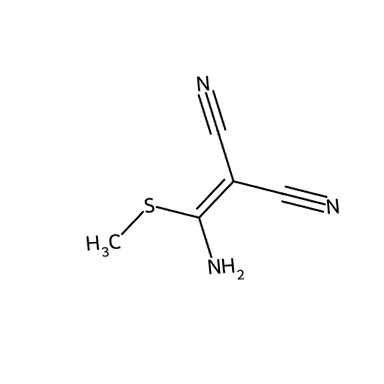 CSC(N)=C(C#N)C#N